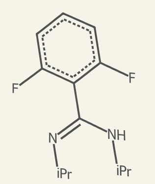 CC(C)N=C(NC(C)C)c1c(F)cccc1F